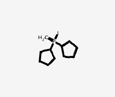 C=P(I)(C1CCCC1)C1CCCC1